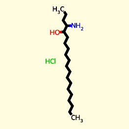 CCCCCCCCCCCCCCCC(O)C(N)CCC.Cl